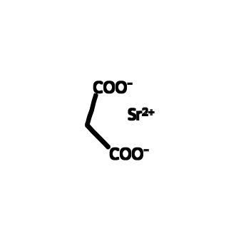 O=C([O-])CC(=O)[O-].[Sr+2]